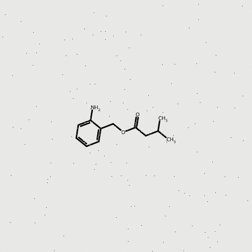 CC(C)CC(=O)OCc1ccccc1N